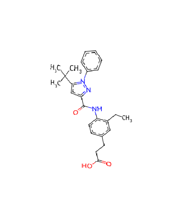 CCc1cc(CCC(=O)O)ccc1NC(=O)c1cc(C(C)(C)C)n(-c2ccccc2)n1